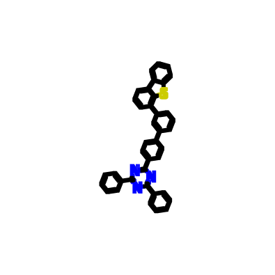 c1ccc(-c2nc(-c3ccccc3)nc(-c3ccc(-c4cccc(-c5cccc6c5sc5ccccc56)c4)cc3)n2)cc1